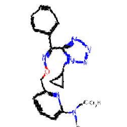 CC(C)(C)N(C(=O)O)c1cccc(CON=C(c2ccccc2)c2nnnn2C2CC2)n1